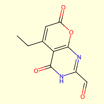 CCc1cc(=O)oc2nc(C=O)[nH]c(=O)c12